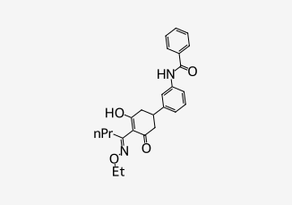 CCCC(=NOCC)C1=C(O)CC(c2cccc(NC(=O)c3ccccc3)c2)CC1=O